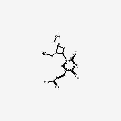 O=C(O)/C=C/c1cn(C2C[C@@H](CO)[C@@H]2CO)c(=O)[nH]c1=O